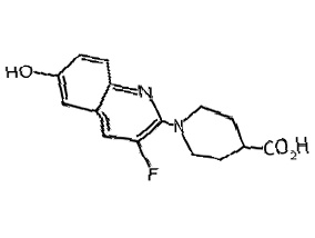 O=C(O)C1CCN(c2nc3ccc(O)cc3cc2F)CC1